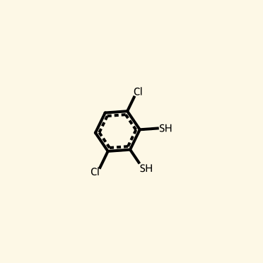 Sc1c(Cl)ccc(Cl)c1S